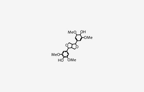 COC1=CC(C2OCC3C(c4cc(OC)c(O)c(OC)c4)OCC23)=CC(OC)C1O